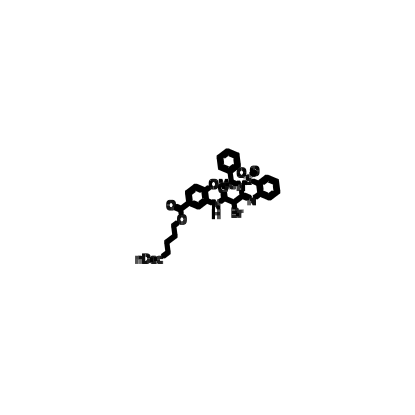 CCCCCCCCCCCCCCOC(=O)c1ccc(OC)c(NC(=O)C(Br)C2=Nc3ccccc3S(=O)(=O)N2Cc2ccccc2)c1